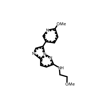 COCCNc1ccc2ncc(-c3ccc(OC)nc3)n2n1